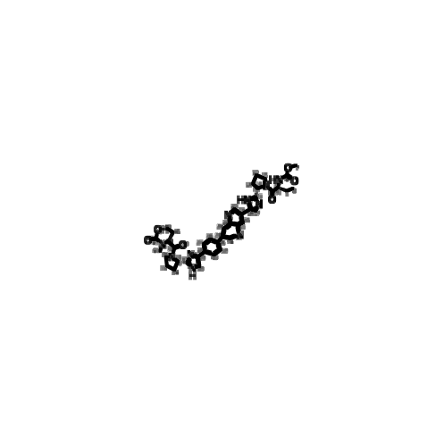 CC[C@H](NC(=O)OC)C(=O)N1CCC[C@H]1c1ncc(-c2cnc3cc(-c4ccc(-c5c[nH]c([C@@H]6CCCN6C(=O)[C@H](CC)N(C)C(=O)O)n5)cc4)cnc3c2)[nH]1